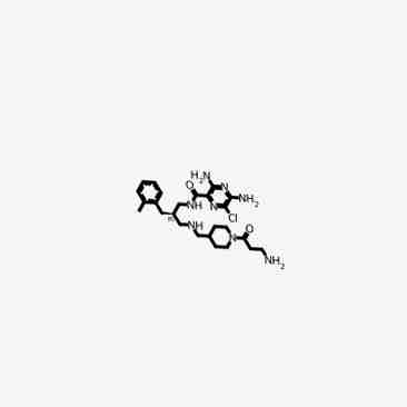 Cc1ccccc1C[C@H](CNCC1CCN(C(=O)CCN)CC1)CNC(=O)c1nc(Cl)c(N)nc1N